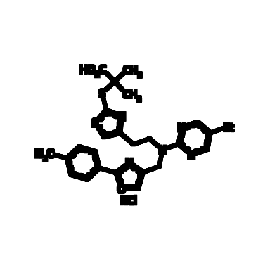 CCc1cnc(N(CCc2csc(SC(C)(C)C(=O)O)n2)Cc2coc(-c3ccc(C)cc3)n2)nc1.Cl